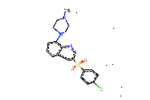 CN1CCN(c2cccc3cc(S(=O)(=O)c4ccc(Cl)cc4)cnc23)CC1